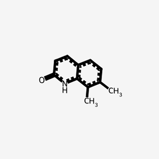 Cc1ccc2ccc(=O)[nH]c2c1C